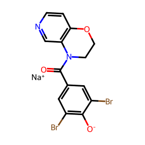 O=C(c1cc(Br)c([O-])c(Br)c1)N1CCOc2ccncc21.[Na+]